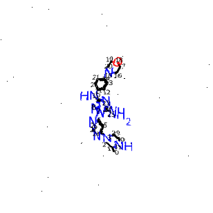 CC1CN(c2cc(-n3nc(Nc4ccc(N5CCOCC5)cc4)nc3N)ncn2)CCN1